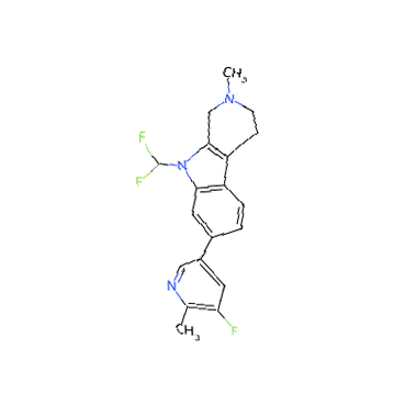 Cc1ncc(-c2ccc3c4c(n(C(F)F)c3c2)CN(C)CC4)cc1F